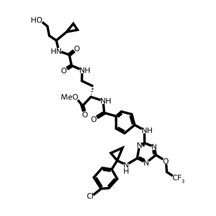 COC(=O)[C@H](CCNC(=O)C(=O)NC(CCO)C1CC1)NC(=O)c1ccc(Nc2nc(NC3(c4ccc(Cl)cc4)CC3)nc(OCC(F)(F)F)n2)cc1